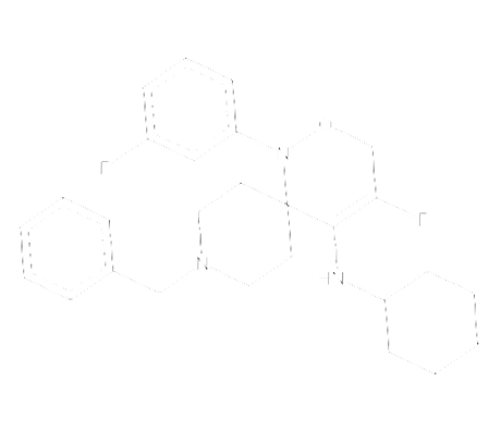 FC1=C(NC2CCCCC2)C2(CCN(Cc3ccccc3)CC2)N(c2cccc(F)c2)OC1